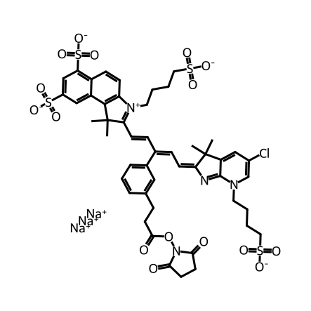 CC1(C)C2=CC(Cl)=CN(CCCCS(=O)(=O)[O-])C2=N/C1=C/C=C(/C=C/C1=[N+](CCCCS(=O)(=O)[O-])c2ccc3c(S(=O)(=O)[O-])cc(S(=O)(=O)[O-])cc3c2C1(C)C)c1cccc(CCC(=O)ON2C(=O)CCC2=O)c1.[Na+].[Na+].[Na+]